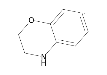 [c]1ccc2c(c1)OCCN2